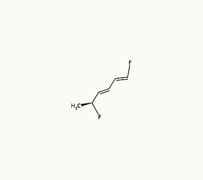 C[C@H](F)/C=C/C=C/F